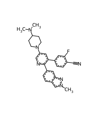 CN(C)C1CCN(c2cnc(-c3ccc4cn(C)nc4c3)c(-c3ccc(C#N)c(F)c3)c2)CC1